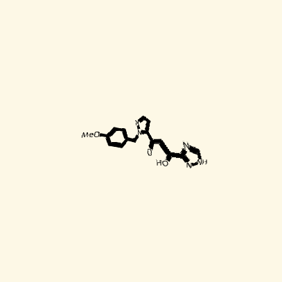 COc1ccc(Cn2nccc2C(=O)C=C(O)c2nc[nH]n2)cc1